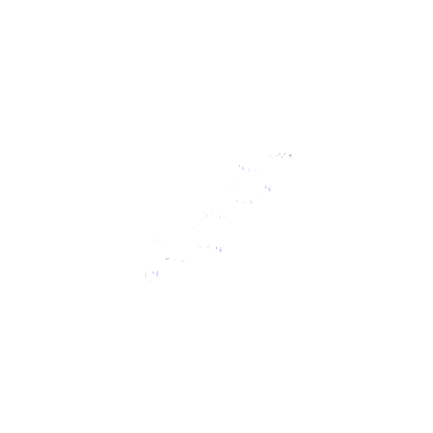 COc1ncc(-c2ccc(OC(N)=O)nc2)cn1